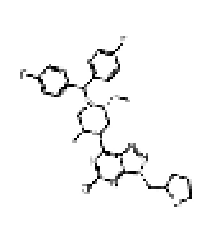 CC[C@@H]1CN(c2nc(Cl)nc3c2nnn3CC2CCCO2)[C@@H](C)CN1C(c1ccc(F)cc1)c1ccc(F)cc1